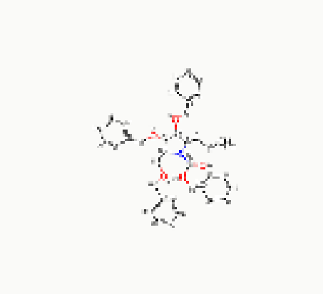 C=CC[C@@H]1[C@H](OCc2ccccc2)[C@@H](OCc2ccccc2)[C@H](COCc2ccccc2)N1C(=O)OCc1ccccc1